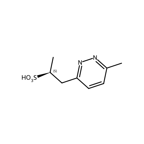 Cc1ccc(C[C@H](C)S(=O)(=O)O)nn1